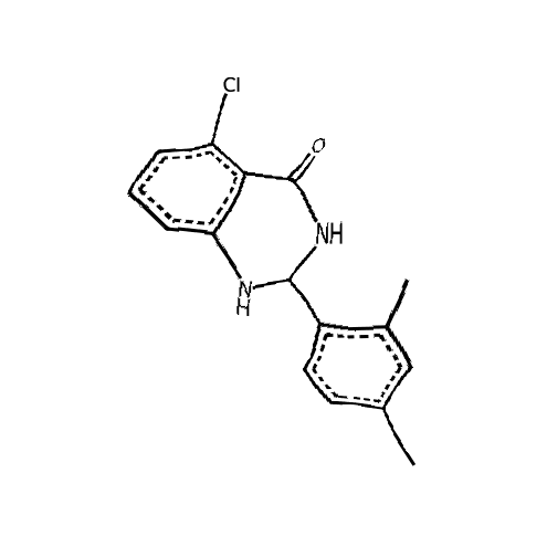 Cc1ccc(C2NC(=O)c3c(Cl)cccc3N2)c(C)c1